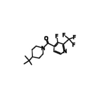 CC(C)(C)C1CCN(C(=O)c2ccnc(C(F)(F)F)c2F)CC1